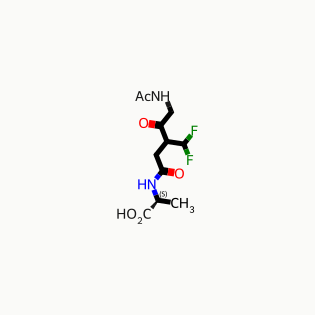 CC(=O)NCC(=O)C(CC(=O)N[C@@H](C)C(=O)O)C(F)F